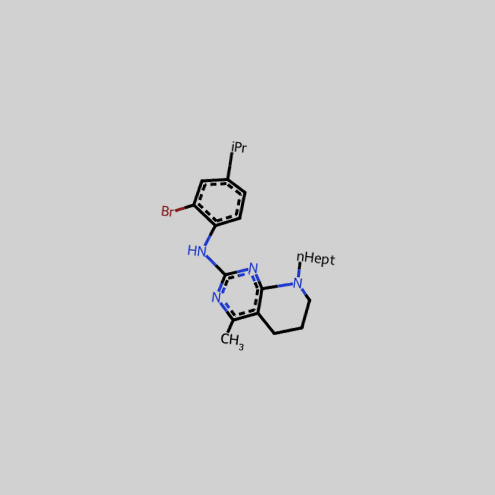 CCCCCCCN1CCCc2c(C)nc(Nc3ccc(C(C)C)cc3Br)nc21